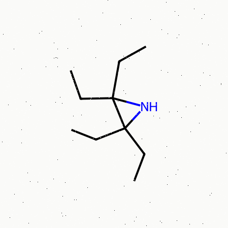 CCC1(CC)NC1(CC)CC